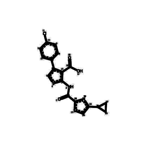 O=C(Nc1scc(-c2ccc(Cl)cc2)c1C(=O)O)c1nc(C2CC2)cs1